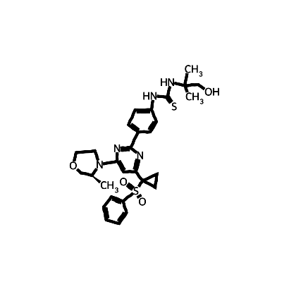 C[C@H]1COCCN1c1cc(C2(S(=O)(=O)c3ccccc3)CC2)nc(-c2ccc(NC(=S)NC(C)(C)CO)cc2)n1